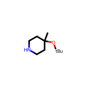 CC(C)(C)OC1(C)CCNCC1